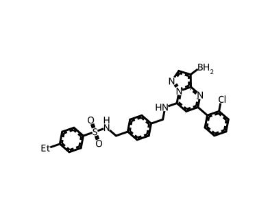 Bc1cnn2c(NCc3ccc(CNS(=O)(=O)c4ccc(CC)cc4)cc3)cc(-c3ccccc3Cl)nc12